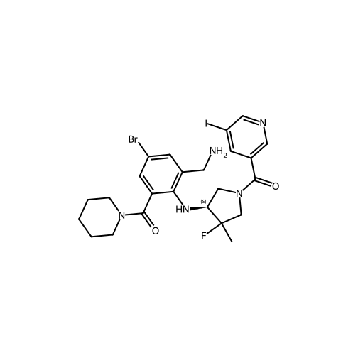 CC1(F)CN(C(=O)c2cncc(I)c2)C[C@@H]1Nc1c(CN)cc(Br)cc1C(=O)N1CCCCC1